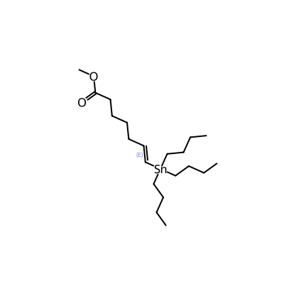 CCC[CH2][Sn](/[CH]=C/CCCCC(=O)OC)([CH2]CCC)[CH2]CCC